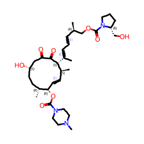 C/C(=C\C=C\[C@@H](C)COC(=O)N1CCC[C@@H]1CO)[C@H]1C(=O)C(=O)C[C@@H](O)CC[C@@H](C)[C@@H](OC(=O)N2CCN(C)CC2)/C=C/[C@@H]1C